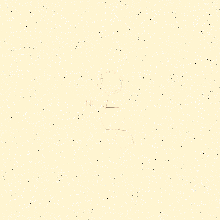 N#CC1(c2ccccn2)CCC2(CC1)OCCO2